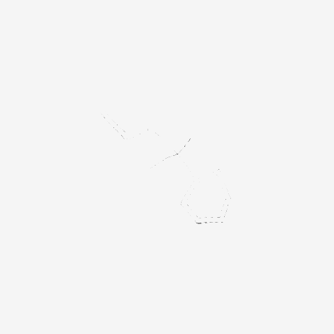 C=COC(C)(C)c1ccccc1